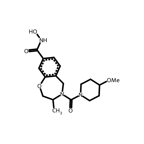 COC1CCN(C(=O)N2Cc3ccc(C(=O)NO)cc3OCC2C)CC1